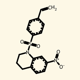 C=Cc1ccc(S(=O)(=O)N2CCCc3ccc([N+](=O)[O-])cc32)cc1